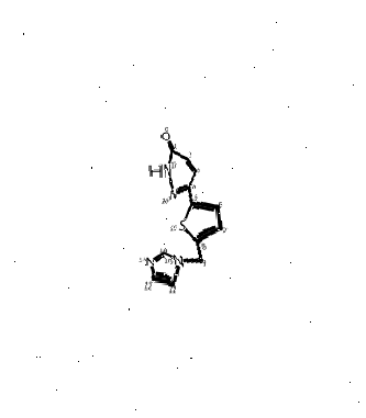 O=c1ccc(-c2ccc(Cn3ccnc3)s2)n[nH]1